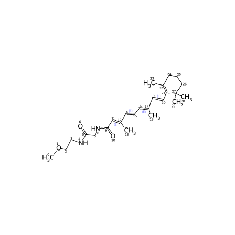 COCCNC(=O)CNC(=O)/C=C(C)/C=C/C=C(C)/C=C/C1=C(C)CCCC1(C)C